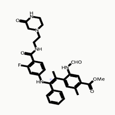 COC(=O)c1cc(NC=O)c(/C(C)=C(/Nc2ccc(C(=O)NCCN3CCNC(=O)C3)c(F)c2)c2ccccc2)cc1C